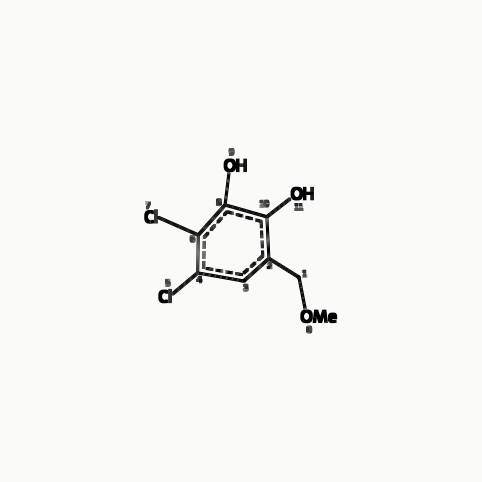 COCc1cc(Cl)c(Cl)c(O)c1O